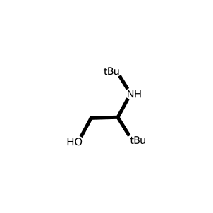 CC(C)(C)NC(CO)C(C)(C)C